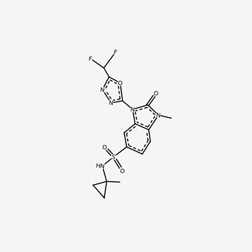 Cn1c(=O)n(-c2nnc(C(F)F)o2)c2cc(S(=O)(=O)NC3(C)CC3)ccc21